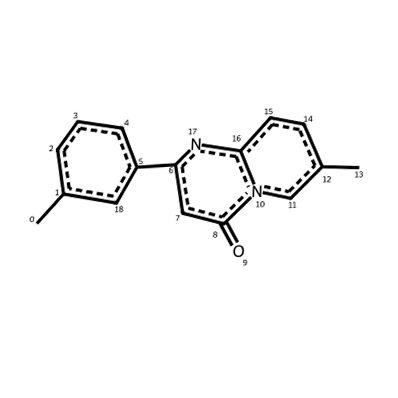 Cc1cccc(-c2cc(=O)n3cc(C)ccc3n2)c1